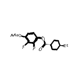 CC[C@H]1CC[C@H](C(=O)Oc2ccc(OC)c(F)c2F)CC1